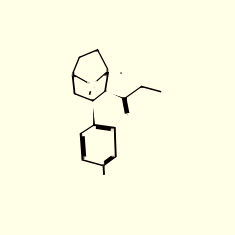 CCC(=O)[C@H]1[C@@H](c2ccc(I)cc2)CC2CC[C@@H]1N2C